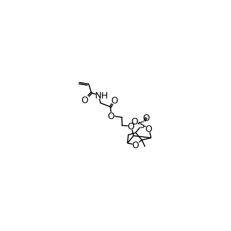 C=CC(=O)NCC(=O)OCCOC1C2CC3C(C)(O2)C1OS3(=O)=O